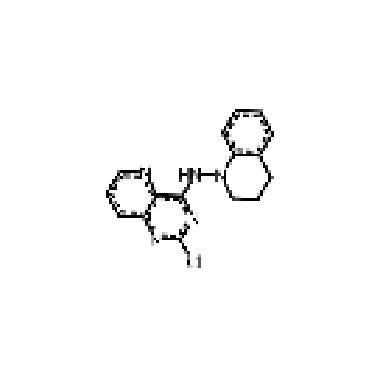 Clc1nc(NN2CCCc3ccccc32)c2ncccc2n1